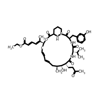 CCOC(=O)/C=C/C=C(\C)[C@@H]1C/C=C/C=C/C[C@H](C)[C@@H](O)[C@@H](CCC(C)=O)C(=O)N[C@@H](C(C)C)C(=O)NC(Cc2cccc(O)c2)C(=O)N2CCCC(N2)C(=O)O1